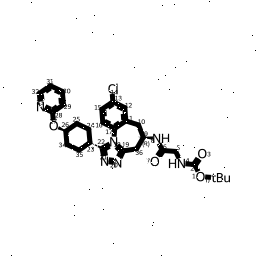 CC(C)(C)OC(=O)NCC(=O)N[C@@H]1Cc2cc(Cl)ccc2-n2c(nnc2[C@H]2CC[C@H](Oc3ccccn3)CC2)C1